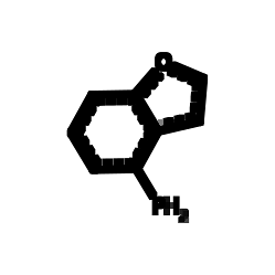 Pc1cccc2occc12